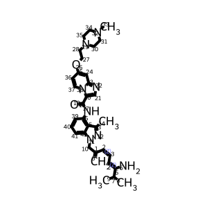 C=C(/C=C\C=C(/N)C(C)C)Cn1nc(C)c2c(NC(=O)c3cnc4cc(OCCN5CCN(C)CC5)ccn34)cccc21